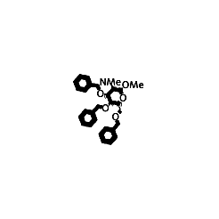 CN[C@@H]1[C@H](OC)O[C@H](COCc2ccccc2)[C@H](OCc2ccccc2)[C@@H]1OCc1ccccc1